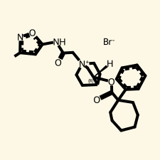 Cc1cc(NC(=O)C[N+]23CCC(CC2)[C@@H](OC(=O)C2(c4ccccc4)CCCCCC2)C3)on1.[Br-]